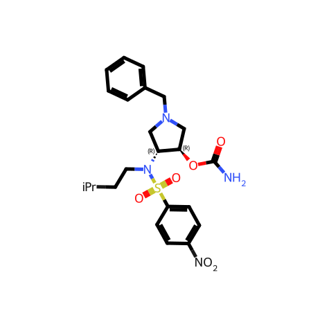 CC(C)CCN([C@@H]1CN(Cc2ccccc2)C[C@H]1OC(N)=O)S(=O)(=O)c1ccc([N+](=O)[O-])cc1